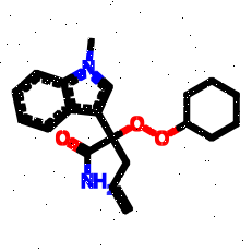 C=CCC(OOC1CCCCC1)(C(N)=O)c1cn(C)c2ccccc12